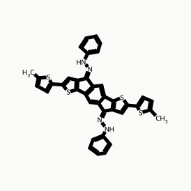 Cc1ccc(-c2cc3/c(=N\Nc4ccccc4)c4cc5c(cc4c3s2)/c(=N/Nc2ccccc2)c2cc(-c3ccc(C)s3)sc25)s1